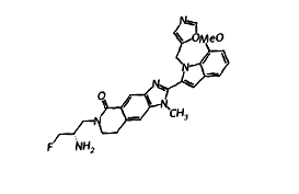 COc1cccc2cc(-c3nc4cc5c(cc4n3C)CCN(C[C@H](N)CF)C5=O)n(Cc3cnco3)c12